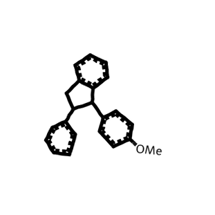 COc1ccc(C2c3ccccc3CC2c2ccccc2)cc1